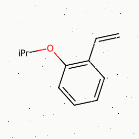 C=Cc1[c]cccc1OC(C)C